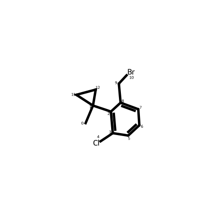 CC1(c2c(Cl)cccc2CBr)CC1